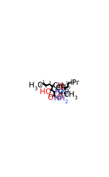 C/C=C/C[C@@H](C)[C@@H](O)[C@@H](C(N)=O)N(C)C(=O)N(C)C(=O)CCC(C)C